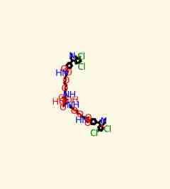 CN1Cc2c(Cl)cc(Cl)cc2C(c2ccc(S(=O)(=O)NCCOCCOCCNC(=O)C(O)C3(O)C(=O)C3NCCOCCOCCNS(=O)(=O)c3ccc(C4CN(C)Cc5c(Cl)cc(Cl)cc54)cc3)cc2)C1